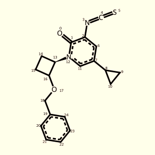 O=c1c(N=C=S)cc(C2CC2)cn1[C@@H]1CCC1OCc1ccccc1